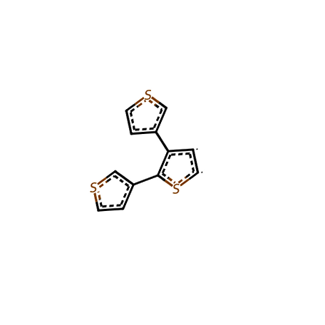 [c]1[c]c(-c2ccsc2)c(-c2ccsc2)s1